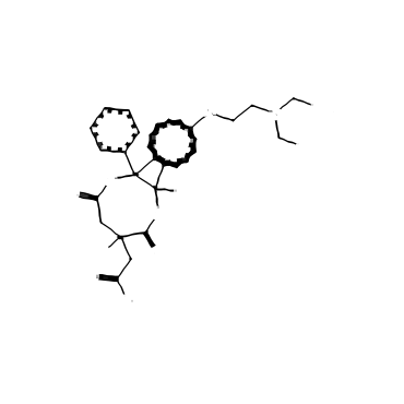 CCN(CC)CCNc1ccc(C2(c3ccccc3)OC(=O)CC(O)(CC(=O)O)C(=O)OC2(Cl)c2ccccc2)cc1